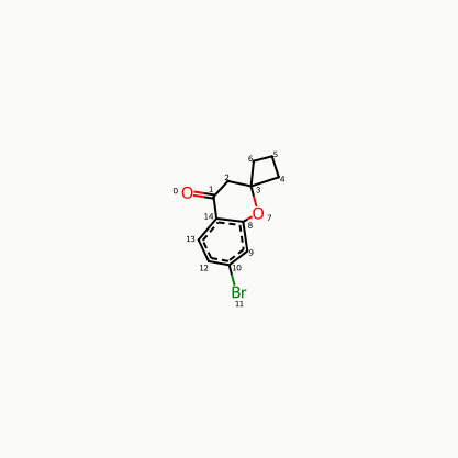 O=C1CC2(CCC2)Oc2cc(Br)ccc21